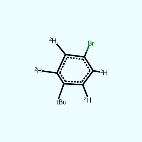 [2H]c1c([2H])c(C(C)(C)C)c([2H])c([2H])c1Br